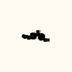 C=CCOc1ccc([S+]([O-])c2ccc(O)cc2)cc1